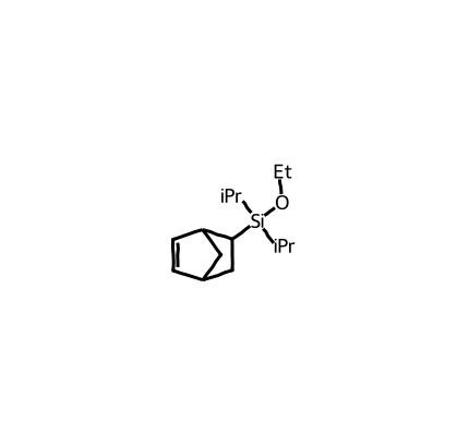 CCO[Si](C(C)C)(C(C)C)C1CC2C=CC1C2